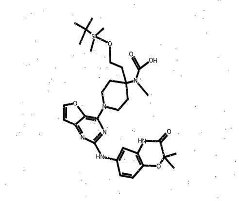 CN(C(=O)O)C1(CCO[Si](C)(C)C(C)(C)C)CCN(c2nc(Nc3ccc4c(c3)NC(=O)C(C)(C)O4)nc3ccoc23)CC1